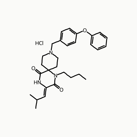 CCCCN1C(=O)/C(=C/C(C)C)NC(=O)C12CCN(Cc1ccc(Oc3ccccc3)cc1)CC2.Cl